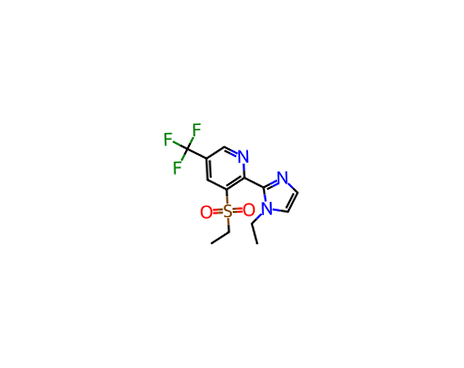 CCn1ccnc1-c1ncc(C(F)(F)F)cc1S(=O)(=O)CC